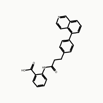 O=C(CCc1ccc(-c2cccc3cnccc23)cc1)Nc1ccccc1C(=O)O